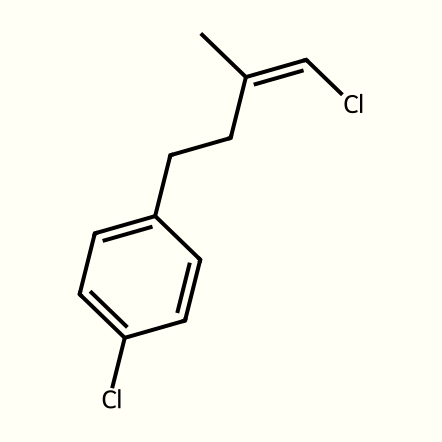 C/C(=C/Cl)CCc1ccc(Cl)cc1